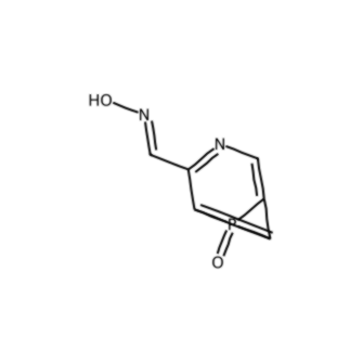 O=P12C3=CN=C(C=NO)C1=C32